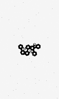 c1ccc(-n2c3ccccc3c3ccccc32)c(-c2ccccc2-n2c3ccccc3c3c4c(ccc32)oc2ccccc24)c1